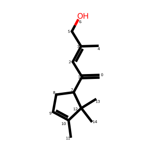 C=C(/C=C(\C)CO)C1CC=C(C)C1(C)C